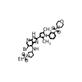 CCS(=O)(=O)N1CCC(Nc2c(Br)cnc3[nH]c(-c4cc(C)n(-c5cccc(S(=O)(=O)N6CCOCC6)c5)c4C)nc23)C1